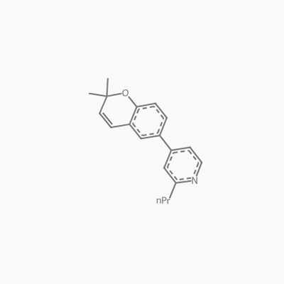 CCCc1cc(-c2ccc3c(c2)C=CC(C)(C)O3)ccn1